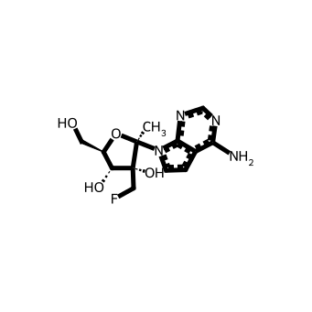 C[C@@]1(n2ccc3c(N)ncnc32)O[C@H](CO)[C@@H](O)[C@]1(O)CF